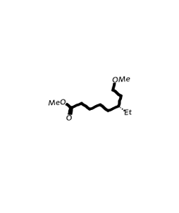 CC[C@H](CCCCC(=O)OC)CCOC